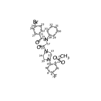 CS(=O)(=O)c1cc(F)ccc1N1CCN(C(=O)CN(C(=O)c2ccc(Br)cc2)c2ccccc2)CC1